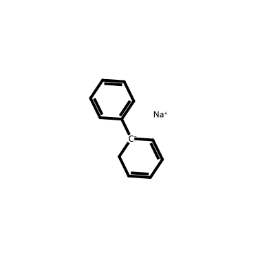 C1=CC[C-](c2ccccc2)C=C1.[Na+]